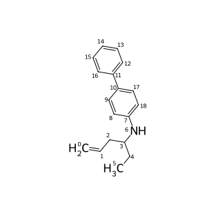 C=CCC(CC)Nc1ccc(-c2ccccc2)cc1